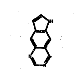 [c]1ncnc2cc3cc[nH]c3cc12